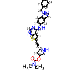 CN(C)C(=O)O[C@@H]1CN[C@@H](C#Cc2cc3c(Nc4ccc5c(cnn5Cc5ccccc5)c4)ncnc3s2)C1